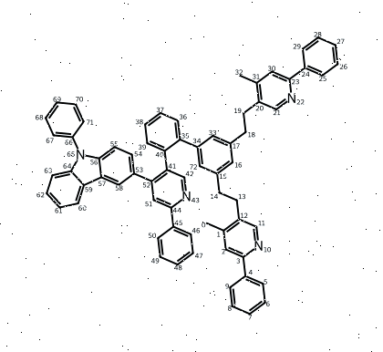 Cc1cc(-c2ccccc2)ncc1CCc1cc(CCc2cnc(-c3ccccc3)cc2C)cc(-c2ccccc2-c2cnc(-c3ccccc3)cc2-c2ccc3c(c2)c2ccccc2n3-c2ccccc2)c1